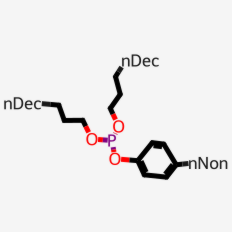 CCCCCCCCCCCCCOP(OCCCCCCCCCCCCC)Oc1ccc(CCCCCCCCC)cc1